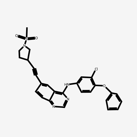 CS(=O)(=O)N1CCC(C#Cc2ccc3ncnc(Nc4ccc(Oc5ccccc5)c(Cl)c4)c3c2)C1